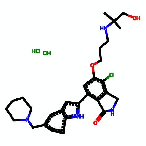 CC(C)(CO)NCCCOc1cc(-c2cc3cc(CN4CCCCC4)ccc3[nH]2)c2c(c1Cl)CNC2=O.Cl.Cl